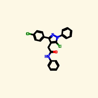 O=C(Cc1c(-c2ccc(Cl)cc2)nn(-c2ccccc2)c1Cl)Nc1ccccc1